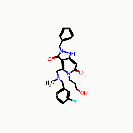 CN(Cc1cccc(F)c1)Cc1c2c(=O)n(Cc3ccccc3)[nH]c2cc(=O)n1CCCO